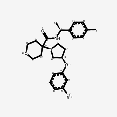 Cc1ccc([C@H](C)NC(=O)C2(N3CC[C@@H](Oc4cccc(C(F)(F)F)c4)C3)CCOCC2)cc1